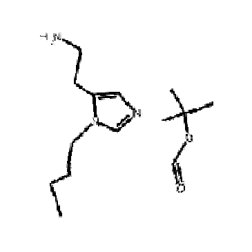 CC(C)(C)OC=O.CCCCn1cncc1CCN